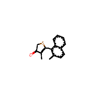 CC1=C(c2c(C)ccc3ccccc23)SCC1=O